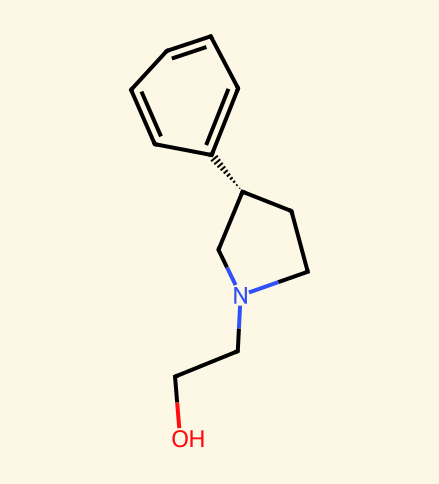 OCCN1CC[C@@H](c2ccccc2)C1